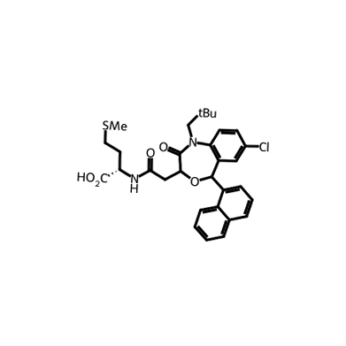 CSCC[C@H](NC(=O)CC1OC(c2cccc3ccccc23)c2cc(Cl)ccc2N(CC(C)(C)C)C1=O)C(=O)O